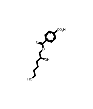 O=C(O)c1ccc(C(=O)OCC(O)CCCCO)cc1